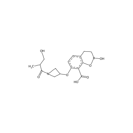 CC(CO)C(=O)N1CC(Oc2ccc3c(c2C(=O)O)OB(O)CC3)C1